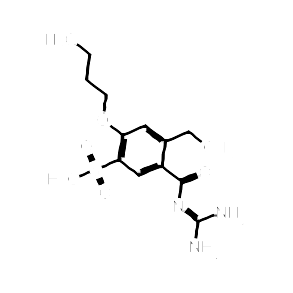 CCCCOc1cc(CC)c(C(=O)N=C(N)N)cc1S(C)(=O)=O